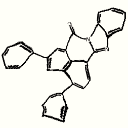 O=c1c2cc(-c3ccccc3)cc3c(-c4ccccc4)ccc(c32)c2nc3ccccc3n12